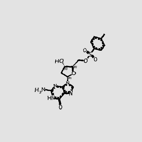 Cc1ccc(S(=O)(=O)OC[C@H]2O[C@@H](n3cnc4c(=O)[nH]c(N)nc43)C[C@@H]2O)cc1